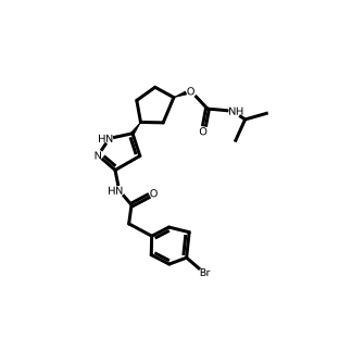 CC(C)NC(=O)O[C@@H]1CC[C@H](c2cc(NC(=O)Cc3ccc(Br)cc3)n[nH]2)C1